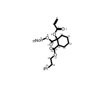 C=CC(=O)OC1(C(=O)OCCCCCCCCC)CCCCC1C(=O)OCCC(C)C